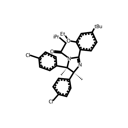 CCOc1cc(C(C)(C)C)ccc1C1=N[C@@](C)(c2ccc(Cl)cc2)[C@@](C)(c2ccc(Cl)cc2)N1C(=O)CC(C)C